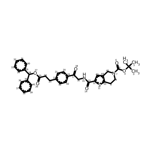 CC(C)(C)OC(=O)N1CCc2sc(C(=O)NCC(=O)c3ccc(CCC(=O)OC(c4ccccc4)c4ccccc4)cc3)cc2C1